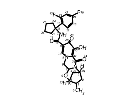 CC1C[C@@H]2C[C@H]1OC1Cn3cc(C(=O)NC4(c5ccc(F)cc5F)CCCC4)c(=O)c(O)c3C(=O)N12